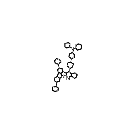 c1ccc(-c2cc3c4ccc(-c5ccccc5)cc4n4c5nc6ccccc6c(-c6ccc(-c7ccc(N(c8ccccc8)c8ccccc8)cc7)cc6)c5c(c2)c34)cc1